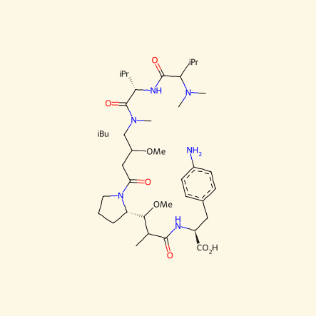 CC[C@H](C)C(C(CC(=O)N1CCC[C@H]1C(OC)C(C)C(=O)N[C@@H](Cc1ccc(N)cc1)C(=O)O)OC)N(C)C(=O)[C@@H](NC(=O)C(C(C)C)N(C)C)C(C)C